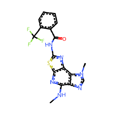 CNc1nc2sc(NC(=O)c3ccccc3C(F)(F)F)nc2c2c1ncn2C